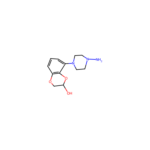 NN1CCN(c2cccc3c2OC(O)CO3)CC1